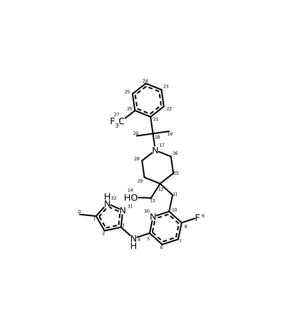 Cc1cc(Nc2ccc(F)c(CC3(CO)CCN(C(C)(C)c4ccccc4C(F)(F)F)CC3)n2)n[nH]1